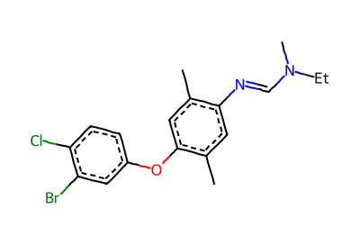 CCN(C)C=Nc1cc(C)c(Oc2ccc(Cl)c(Br)c2)cc1C